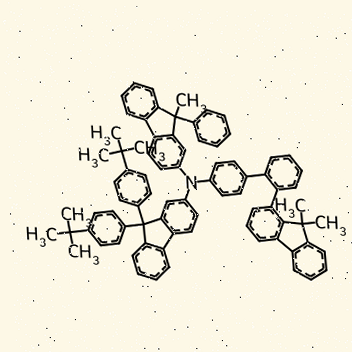 CC(C)(C)c1ccc(C2(c3ccc(C(C)(C)C)cc3)c3ccccc3-c3ccc(N(c4ccc(-c5ccccc5-c5cccc6c5C(C)(C)c5ccccc5-6)cc4)c4ccc5c(c4)C(C)(c4ccccc4)c4ccccc4-5)cc32)cc1